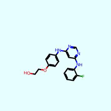 OCCOc1ccc(Nc2cc(Nc3ccccc3F)ncn2)cc1